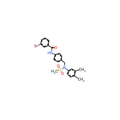 Cc1ccc(N(Cc2ccc(NC(=O)c3cccc(Br)c3)cc2)S(C)(=O)=O)cc1C